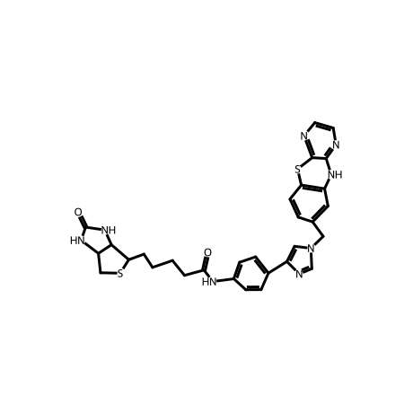 O=C(CCCCC1SCC2NC(=O)NC21)Nc1ccc(-c2cn(Cc3ccc4c(c3)Nc3nccnc3S4)cn2)cc1